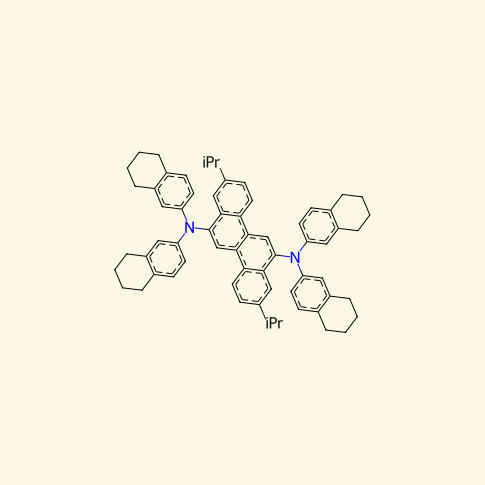 CC(C)c1ccc2c(c1)c(N(c1ccc3c(c1)CCCC3)c1ccc3c(c1)CCCC3)cc1c3ccc(C(C)C)cc3c(N(c3ccc4c(c3)CCCC4)c3ccc4c(c3)CCCC4)cc21